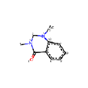 CC(=O)N1CN(C)C(=O)c2ccccc21